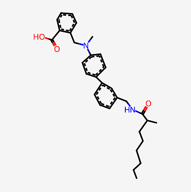 CCCCCCC(C)C(=O)NCc1cccc(-c2ccc(N(C)Cc3ccccc3C(=O)O)cc2)c1